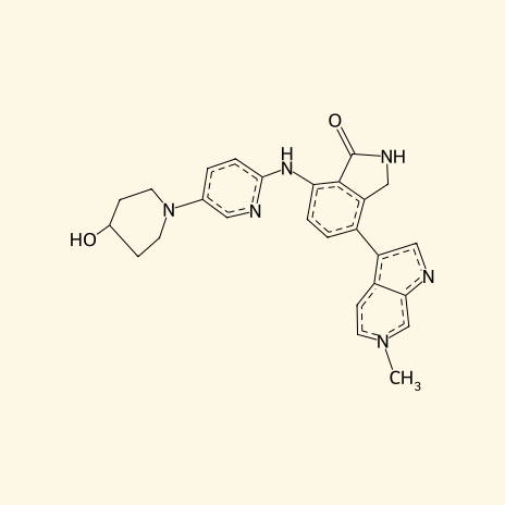 Cn1ccc2c(-c3ccc(Nc4ccc(N5CCC(O)CC5)cn4)c4c3CNC4=O)cnc-2c1